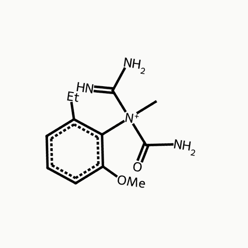 CCc1cccc(OC)c1[N+](C)(C(=N)N)C(N)=O